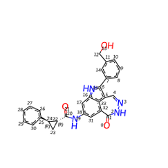 O=C1NN=Cc2c(-c3cccc(CO)c3)[nH]c3cc(NC(=O)[C@@H]4C[C@H]4c4ccccc4)cc1c23